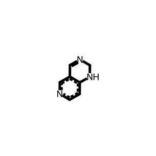 C1=NCNc2ccncc21